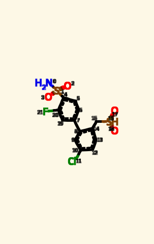 NS(=O)(=O)c1ccc(-c2cc(Cl)ccc2C[SH](=O)=O)cc1F